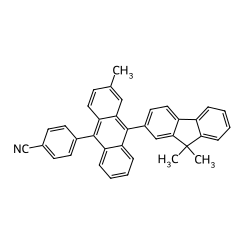 Cc1ccc2c(-c3ccc(C#N)cc3)c3ccccc3c(-c3ccc4c(c3)C(C)(C)c3ccccc3-4)c2c1